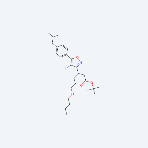 CCCCOCCCC(CC(=O)OC(C)(C)C)c1noc(-c2ccc(CC(C)C)cc2)c1I